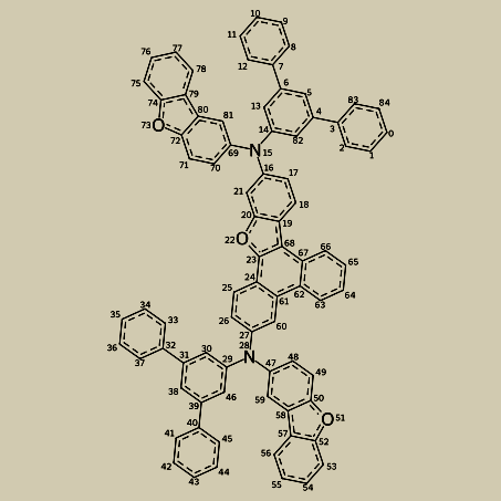 c1ccc(-c2cc(-c3ccccc3)cc(N(c3ccc4c(c3)oc3c5ccc(N(c6cc(-c7ccccc7)cc(-c7ccccc7)c6)c6ccc7oc8ccccc8c7c6)cc5c5ccccc5c43)c3ccc4oc5ccccc5c4c3)c2)cc1